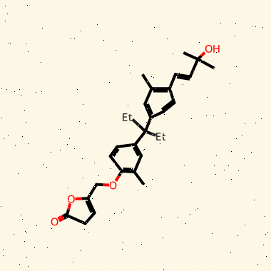 CCC(CC)(c1ccc(C=CC(C)(C)O)c(C)c1)c1ccc(OCC2=CCC(=O)O2)c(C)c1